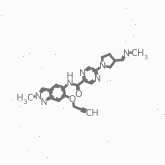 C#CCOc1cc2nn(C)cc2cc1NC(=O)c1cnc(N2CCC(/C=N/C)C2)cn1